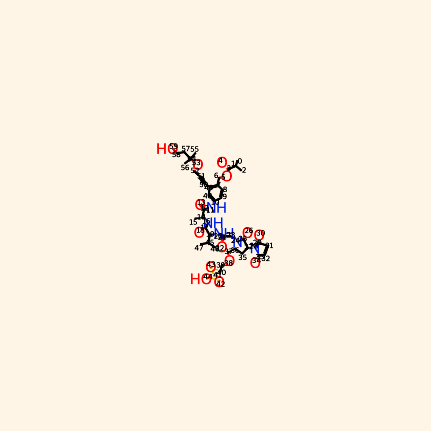 CC(C)C(=O)OCc1ccc(NC(=O)[C@H](C)NC(=O)C(NC(=O)CN2C(=O)[C@@H](N3C(=O)C=CC3=O)C[C@H]2COCCS(=O)(=O)O)C(C)C)cc1C#CCOC(C)(C)CCO